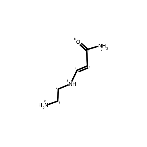 NCCNC=CC(N)=O